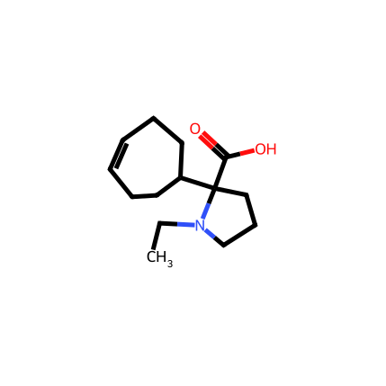 CCN1CCCC1(C(=O)O)C1CCC=CCC1